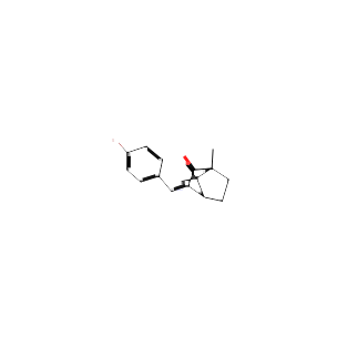 CC12CCC(/C(=C/c3ccc(Br)cc3)C1=O)C2(C)C